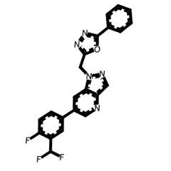 Fc1ccc(-c2cnc3cnn(Cc4nnc(-c5ccccc5)o4)c3c2)cc1C(F)F